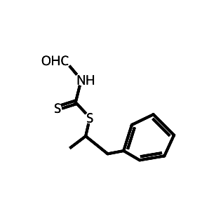 CC(Cc1ccccc1)SC(=S)NC=O